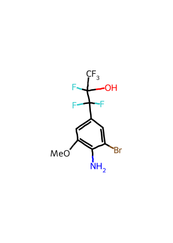 COc1cc(C(F)(F)C(O)(F)C(F)(F)F)cc(Br)c1N